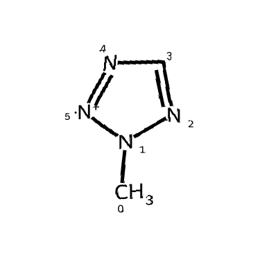 CN1N=CN=[N+]1